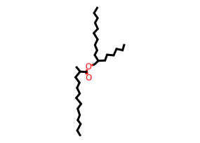 CCCCCCCCCCCCC(C)C(=O)OCC(CCCCCC)CCCCCCCCCC